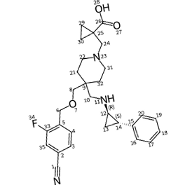 N#Cc1ccc(COCC2(CN[C@@H]3C[C@H]3c3ccccc3)CCN(CC3(C(=O)O)CC3)CC2)c(F)c1